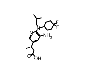 CC(C)CN(c1ncc([C@H](C)CC(=O)O)cc1N)C1CCC(F)(F)CC1